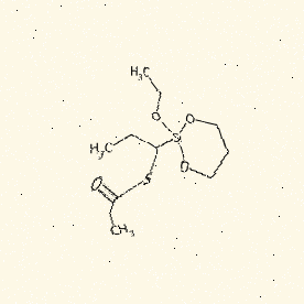 CCO[Si]1(C(CC)SC(C)=O)OCCCO1